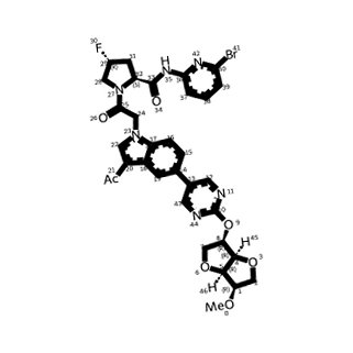 CO[C@@H]1CO[C@H]2[C@@H]1OC[C@H]2Oc1ncc(-c2ccc3c(c2)c(C(C)=O)cn3CC(=O)N2C[C@H](F)C[C@H]2C(=O)Nc2cccc(Br)n2)cn1